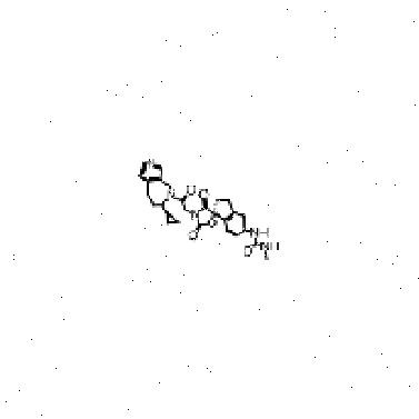 CNC(=O)Nc1ccc2c(c1)CC[C@@]21OC(=O)N(CC(=O)N2Cc3cnccc3CCC2C2CC2)C1=O